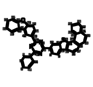 c1ccc(-c2nc(-c3ccc4c(c3)sc3c4ccc4ccc5ccccc5c43)nc(-c3ccc4oc5ccccc5c4c3)n2)cc1